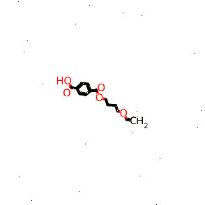 C=COCCCCOC(=O)c1ccc(C(=O)O)cc1